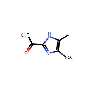 Cc1[nH]c(C(=O)C(Cl)(Cl)Cl)nc1[N+](=O)[O-]